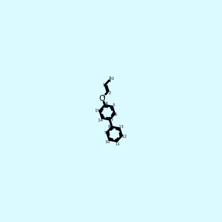 IC=COc1ccc(-c2ccccc2)cc1